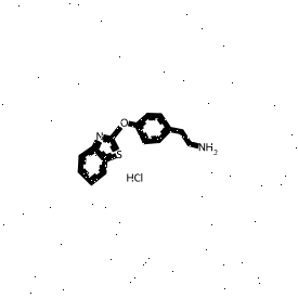 Cl.NCCc1ccc(Oc2nc3ccccc3s2)cc1